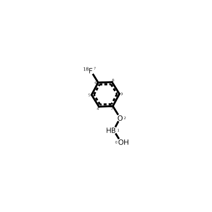 OBOc1ccc([18F])cc1